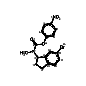 CN(C(=O)Oc1ccc([N+](=O)[O-])cc1)C1CCc2ccc(Br)cc21